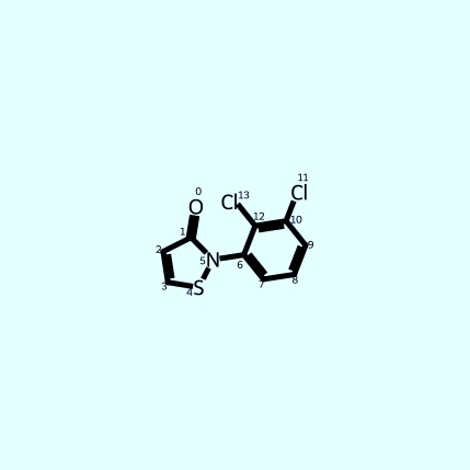 O=c1ccsn1-c1cccc(Cl)c1Cl